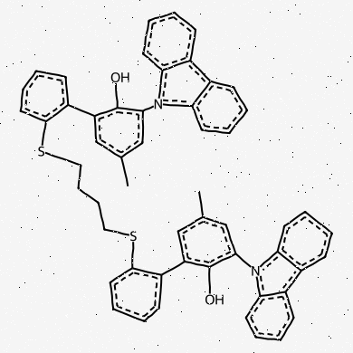 Cc1cc(-c2ccccc2SCCCCSc2ccccc2-c2cc(C)cc(-n3c4ccccc4c4ccccc43)c2O)c(O)c(-n2c3ccccc3c3ccccc32)c1